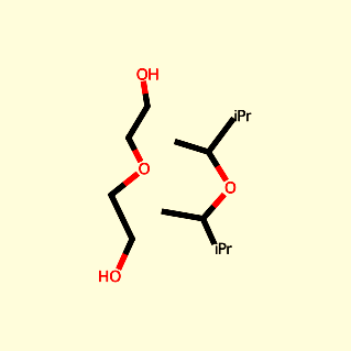 CC(C)C(C)OC(C)C(C)C.OCCOCCO